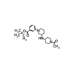 CC(=O)N1CCC(NC2CCCN(c3cccc(C(=O)OC(C)(C)C)c3)C2)CC1